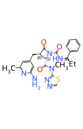 CC[C@@H](NC(=O)N1C(=O)[C@H](Cc2cc(C)nc(N)c2)[C@H]1C(=O)N(C)c1nncs1)c1ccccc1